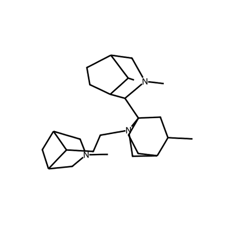 CC1CC2(C3C4CCC(CN3C)C4C)CCC1CN2CCC1C2CC1CN(C)C2